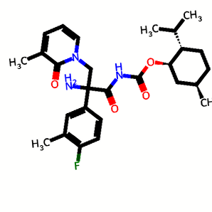 Cc1cc(C(N)(Cn2cccc(C)c2=O)C(=O)NC(=O)O[C@@H]2C[C@H](C)CC[C@H]2C(C)C)ccc1F